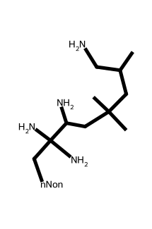 CCCCCCCCCCC(N)(N)C(N)CC(C)(C)CC(C)CN